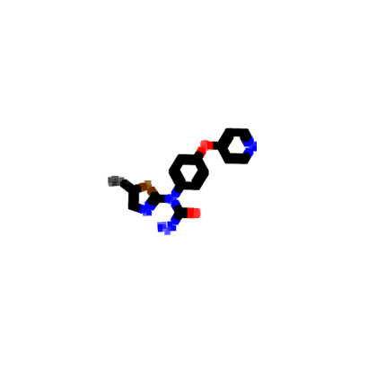 CC(C)(C)c1cnc(N(C(N)=O)c2ccc(Oc3ccncc3)cc2)s1